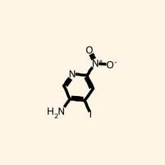 Nc1cnc([N+](=O)[O-])cc1I